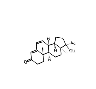 CC(=O)[C@@]1(O)CC[C@H]2[C@@H]3C=CC4=CC(=O)CC[C@@]4(C)[C@@H]3CC[C@@]21C